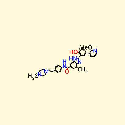 COc1ncccc1-c1ccc(O)c(-c2nc3c(C)cc(C(=O)Nc4ccc(CCN5CCN(C)CC5)cc4)cc3[nH]2)c1